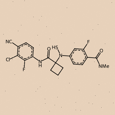 CNC(=O)c1ccc(N(S)C2(C(=O)Nc3ccc(C#N)c(Cl)c3F)CCC2)cc1F